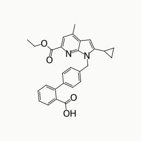 CCOC(=O)c1cc(C)c2cc(C3CC3)n(Cc3ccc(-c4ccccc4C(=O)O)cc3)c2n1